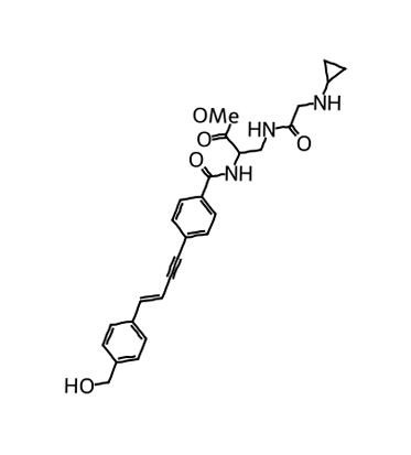 COC(=O)C(CNC(=O)CNC1CC1)NC(=O)c1ccc(C#CC=Cc2ccc(CO)cc2)cc1